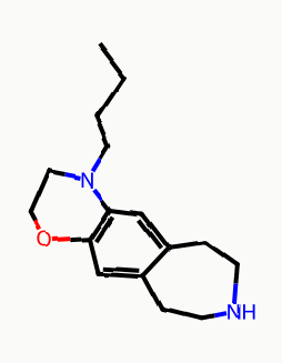 CCCCN1CCOc2cc3c(cc21)CCNCC3